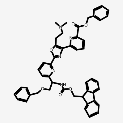 CN(C)CCc1oc(-c2cccc(C(COCc3ccccc3)NC(=O)OCC3c4ccccc4-c4ccccc43)n2)nc1-c1cccc(C(=O)OCc2ccccc2)n1